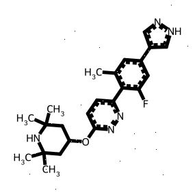 Cc1cc(-c2cn[nH]c2)cc(F)c1-c1ccc(OC2CC(C)(C)NC(C)(C)C2)nn1